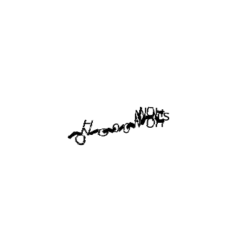 C=CC(=O)NCCOCCOCCOCCn1cc(C(O)(O)N2CCSCC2)nn1